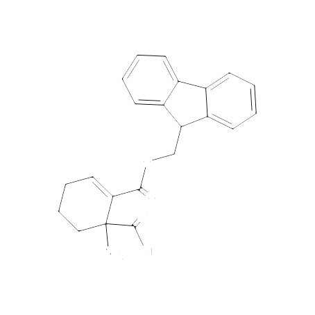 NC1(C(=O)O)CCCC=C1C(=O)OCC1c2ccccc2-c2ccccc21